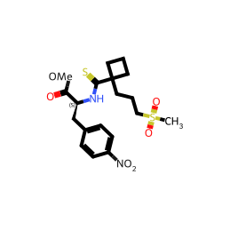 COC(=O)[C@H](Cc1ccc([N+](=O)[O-])cc1)NC(=S)C1(CCCS(C)(=O)=O)CCC1